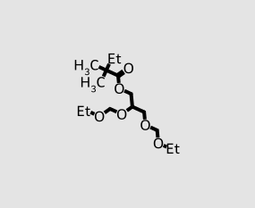 CCOCOCC(COC(=O)C(C)(C)CC)OCOCC